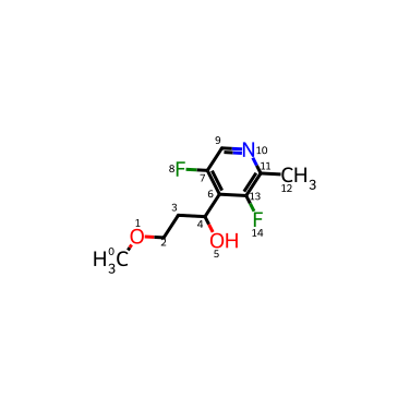 COCCC(O)c1c(F)cnc(C)c1F